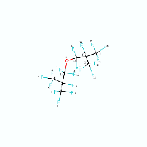 FC(F)(F)C(F)(C(F)(F)F)C(F)(F)OC(F)(F)C(F)(C(F)(F)F)C(F)(F)F